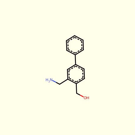 NCc1cc(-c2ccccc2)ccc1CO